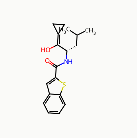 CC(C)C[C@H](NC(=O)c1cc2ccccc2s1)C(O)=C1CC1